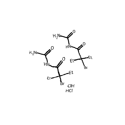 CCC(Br)(CC)C(=O)NC(N)=O.CCC(Br)(CC)C(=O)NC(N)=O.Cl.Cl